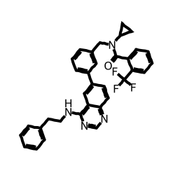 O=C(c1ccccc1C(F)(F)F)N(Cc1cccc(-c2ccc3ncnc(NCCc4ccccc4)c3c2)c1)C1CC1